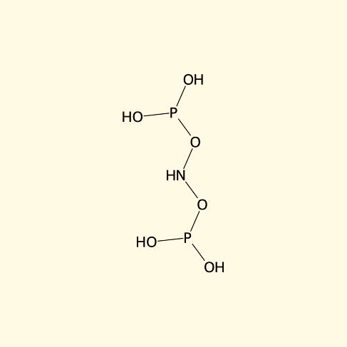 OP(O)ONOP(O)O